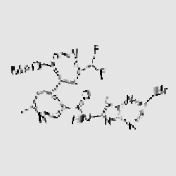 COc1cnc(C(F)F)cc1-c1cc(C)ncc1C(=O)Nc1nc2ncc(Br)nc2s1